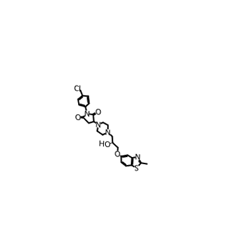 Cc1nc2cc(OC[C@H](O)CN3CCN(C4CC(=O)N(c5ccc(Cl)cc5)C4=O)CC3)ccc2s1